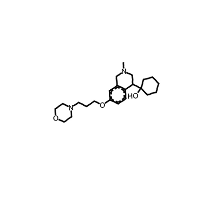 CN1Cc2cc(OCCCN3CCOCC3)ccc2C(C2(O)CCCCC2)C1